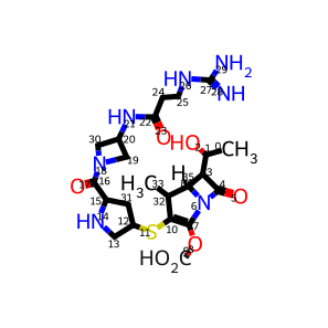 CC(O)C1C(=O)N2C(OC(=O)O)=C(SC3CNC(C(=O)N4CC(NC(=O)CCNC(=N)N)C4)C3)C(C)[C@@H]12